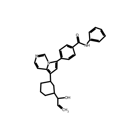 C=CC(O)C1CCCC(c2cc(-c3ccc(C(=O)Nc4ccccc4)cc3)n3cnccc23)C1